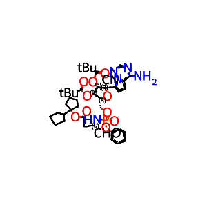 CC(C)(C)C(=O)O[C@H]1[C@@H](OC(=O)C(C)(C)C)[C@](C#N)(c2ccc3c(N)ncnn23)O[C@@H]1COP(=O)(N[C@H](C=O)CC(=O)OC1(C2CCCC2)CCCC1)Oc1ccccc1